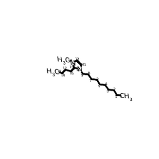 CCCCCCCCCCN1C=CN(C)C1CCCC